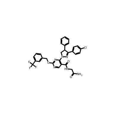 NC(=O)CNC(=O)c1cnc(OCc2cccc(C(F)(F)F)c2)nc1N1CC(c2ccccc2)C(c2ccc(Cl)cc2)=N1